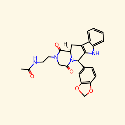 CC(=O)NCCN1CC(=O)N2[C@H](c3ccc4c(c3)OCO4)c3[nH]c4ccccc4c3C[C@@H]2C1=O